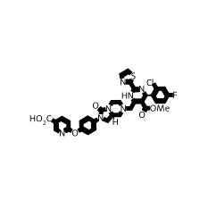 COC(=O)C1=C(CN2CCN3C(=O)N(c4ccc(Oc5ccc(C(=O)O)cn5)cc4)C[C@@H]3C2)NC(c2nccs2)=N[C@H]1c1ccc(F)cc1Cl